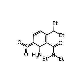 CCC(CC)C1=C(C(=O)N(CC)CC)C(N)C(=S(=O)=O)C=C1